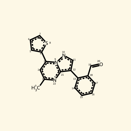 Cc1cc(-c2cccs2)n2ncc(-c3ccccc3C=O)c2n1